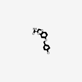 NC(=O)[C@H]1COc2ccc(OCc3ccc(Cl)cc3)cc2O1